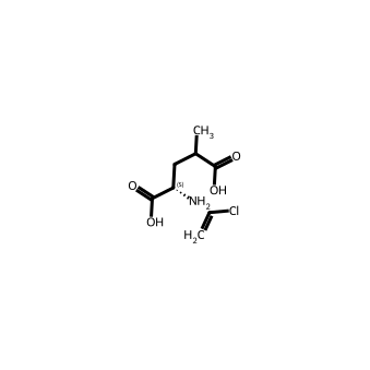 C=CCl.CC(C[C@H](N)C(=O)O)C(=O)O